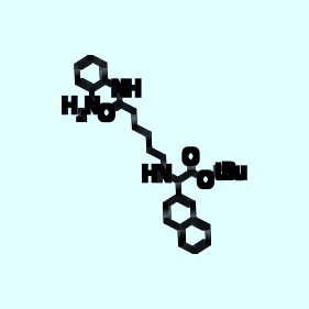 CC(C)(C)OC(=O)C(NCCCCCC(=O)Nc1ccccc1N)c1ccc2ccccc2c1